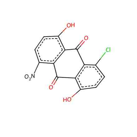 O=C1c2c(O)ccc([N+](=O)[O-])c2C(=O)c2c(O)ccc(Cl)c21